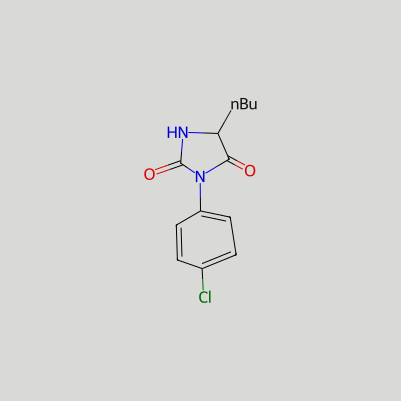 CCCCC1NC(=O)N(c2ccc(Cl)cc2)C1=O